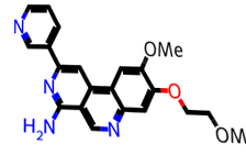 COCCOc1cc2ncc3c(N)nc(-c4cccnc4)cc3c2cc1OC